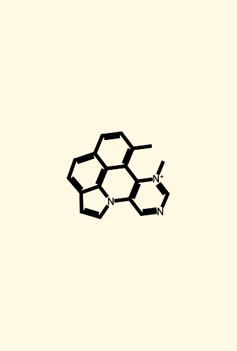 Cc1ccc2ccc3ccn4c5cnc[n+](C)c5c1c2c34